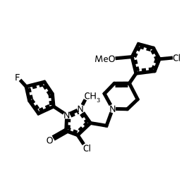 COc1ccc(Cl)cc1C1=CCN(Cc2c(Cl)c(=O)n(-c3ccc(F)cc3)n2C)CC1